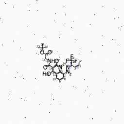 C/C=C\C(=N/N(C)c1cccc2c(O)c(C(=O)NCC(=O)OC(C)(C)C)c(=O)n(C)c12)C(F)(F)F